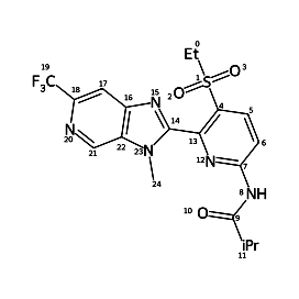 CCS(=O)(=O)c1ccc(NC(=O)C(C)C)nc1-c1nc2cc(C(F)(F)F)ncc2n1C